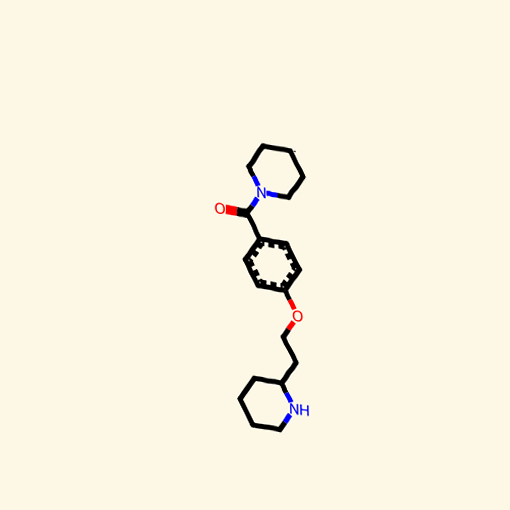 O=C(c1ccc(OCCC2CCCCN2)cc1)N1CC[CH]CC1